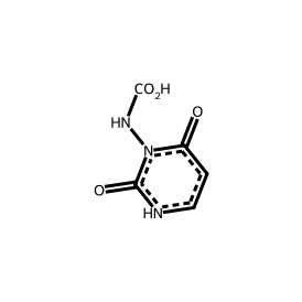 O=C(O)Nn1c(=O)cc[nH]c1=O